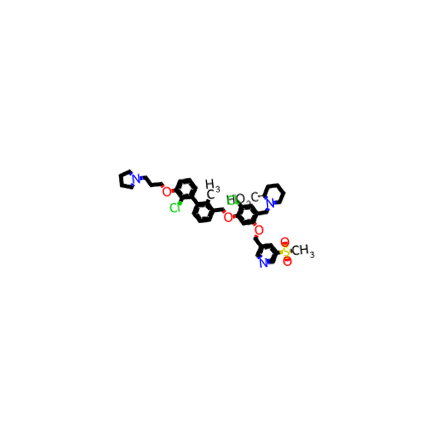 Cc1c(COc2cc(OCc3cncc(S(C)(=O)=O)c3)c(CN3CCCC[C@H]3C(=O)O)cc2Cl)cccc1-c1cccc(OCCCN2CCCC2)c1Cl